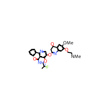 CNCCOc1cc2c(cc1OC)C(=O)CC(Oc1cnc(-c3ccccc3)c(C(N)=O)c1OCC(C)F)=N2